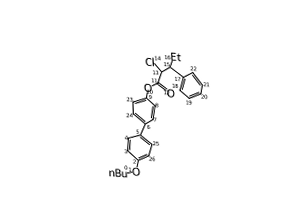 CCCCOc1ccc(-c2ccc(OC(=O)C(Cl)C(CC)c3ccccc3)cc2)cc1